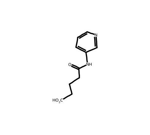 O=C(O)CCCC(=O)Nc1cccnc1